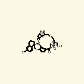 O=C1NS(=O)(=O)[C@H](CO)CCCC[C@H](O)[C@@H]2CC[C@H]2CN2C[C@@]3(CCCc4cc(Cl)ccc43)COc3ccc1cc32